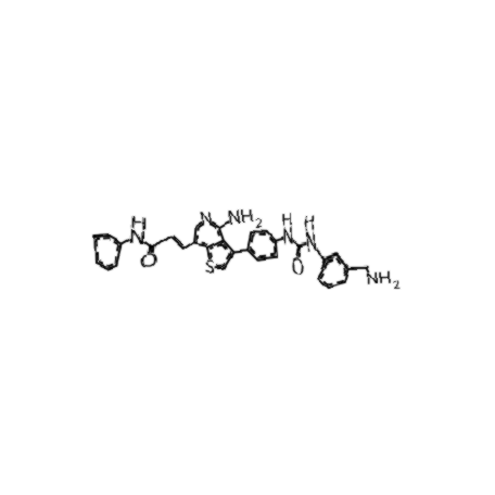 NCc1cccc(NC(=O)Nc2ccc(-c3csc4c(C=CC(=O)Nc5ccccc5)cnc(N)c34)cc2)c1